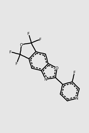 Fc1cnccc1-c1nc2cc3c(cc2o1)C(F)(F)OC3(F)F